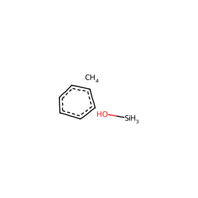 C.O[SiH3].c1ccccc1